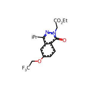 CCOC(=O)Cn1nc(C(C)C)c2cc(OCC(F)(F)F)ccc2c1=O